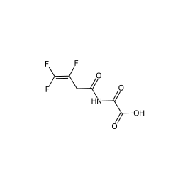 O=C(CC(F)=C(F)F)NC(=O)C(=O)O